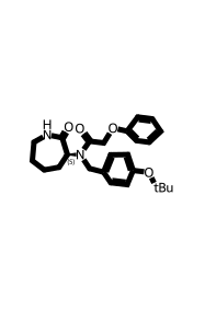 CC(C)(C)Oc1ccc(CN(C(=O)COc2ccccc2)[C@H]2CCCCNC2=O)cc1